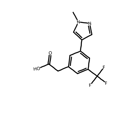 Cn1cc(-c2cc(CC(=O)O)cc(C(F)(F)F)c2)cn1